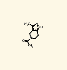 Cc1n[nH]c2c1CN(C(=O)P)CC2